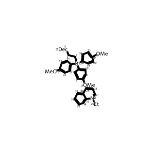 CCCCCCCCCCCC[B-](c1ccc(OC)cc1)(c1ccc(OC)cc1)c1ccc(OC)cc1.CC[n+]1cccc2ccccc21